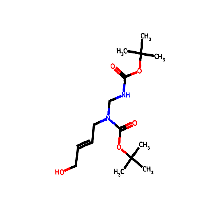 CC(C)(C)OC(=O)NCN(CC=CCO)C(=O)OC(C)(C)C